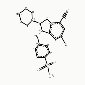 N#Cc1cc(Cl)cc2c1C[C@H](N1CCNCC1)[C@H]2Oc1ccc(S(N)(=O)=O)cc1